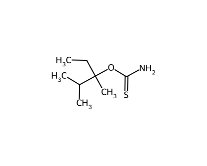 CCC(C)(OC(N)=S)C(C)C